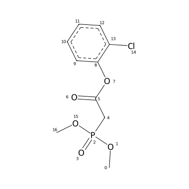 COP(=O)(CC(=O)Oc1ccccc1Cl)OC